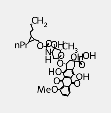 C=CCCC1C(CCC)C1COC(=O)N[C@H]1C[C@H](O[C@H]2C[C@](O)(C(=O)CO)Cc3c(O)c4c(c(O)c32)C(=O)c2c(OC)cccc2C4=O)O[C@@H](C)[C@@H]1O